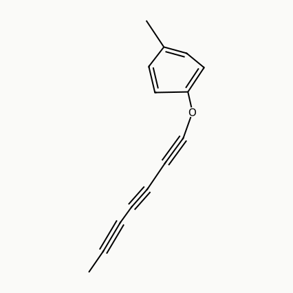 CC#CC#CC#COc1ccc(C)cc1